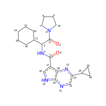 O=C(NC(C(=O)N1CCCC1)C1CCCCC1)c1c[nH]c2ncc(C3CC3)nc12